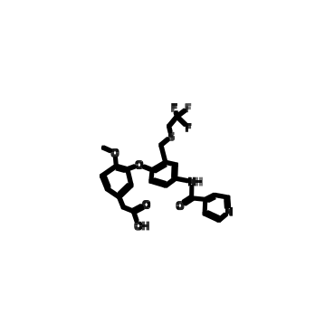 COc1ccc(CC(=O)O)cc1Oc1ccc(NC(=O)c2ccncc2)cc1CSCC(F)(F)F